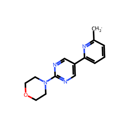 [CH2]c1cccc(-c2cnc(N3CCOCC3)nc2)n1